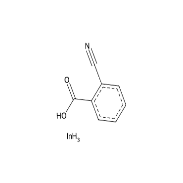 N#Cc1ccccc1C(=O)O.[InH3]